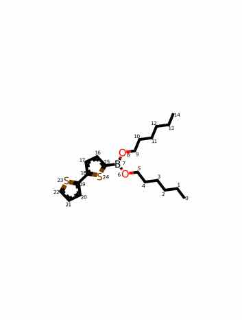 CCCCCCOB(OCCCCCC)c1ccc(-c2cccs2)s1